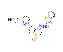 O=C(O)c1cccc(-c2ccc3c(c2)/C(=N/Nc2nc4ccccc4s2)CC[S+]3[O-])n1